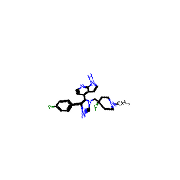 CN1CCC(F)(Cn2cnc(-c3ccc(F)cc3)c2-c2ccnc3[nH]ccc23)CC1